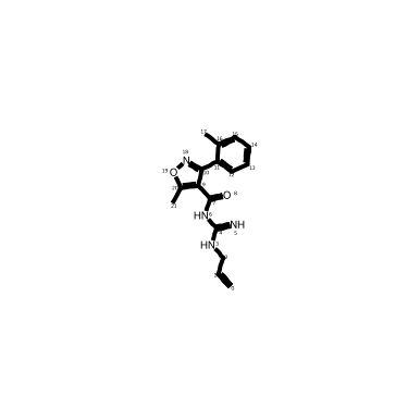 C=CCNC(=N)NC(=O)c1c(-c2ccccc2C)noc1C